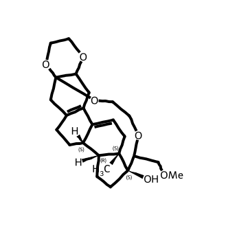 COCC1OCCOC23CC4=C(CC2OCCO3)C2=CC[C@@]3(C)[C@H](CC[C@@]13O)[C@@H]2CC4